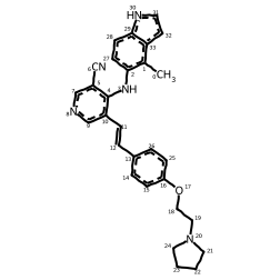 Cc1c(Nc2c(C#N)cncc2C=Cc2ccc(OCCN3CCCC3)cc2)ccc2[nH]ccc12